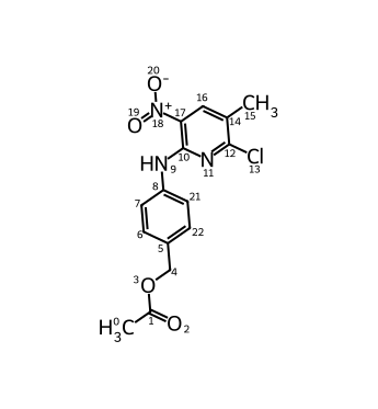 CC(=O)OCc1ccc(Nc2nc(Cl)c(C)cc2[N+](=O)[O-])cc1